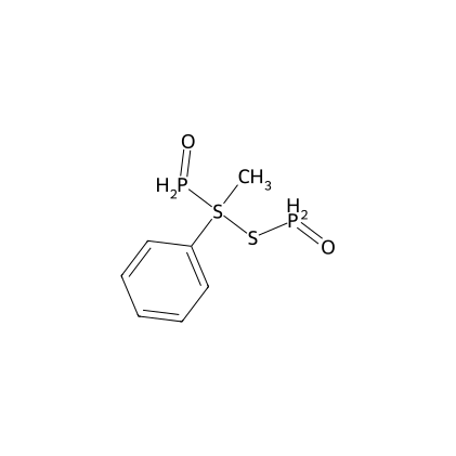 CS([PH2]=O)(S[PH2]=O)c1ccccc1